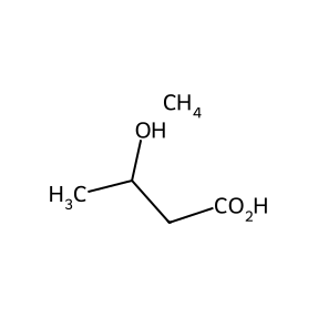 C.CC(O)CC(=O)O